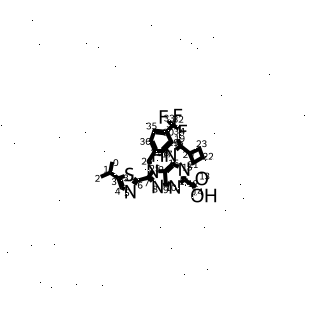 CC(C)c1cnc(-c2nc3nc(C(=O)O)nc(NC(C)C4CCC4)c3n2Cc2ccc(C(F)(F)F)cc2)s1